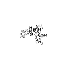 Cc1ccc(Nc2cc(N)nc(C(=O)NC3Cc4ccccc4C3)c2)c(O)c1